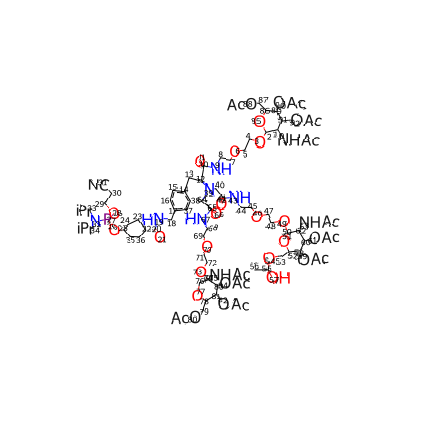 CC(=O)NC1C(OCCOCCNC(=O)C(Cc2ccc(CNC(=O)[C@H]3CC[C@@H](OP(OCCC#N)N(C(C)C)C(C)C)CC3)cc2)N(CC(=O)NCCOCCOC2OC(COC(C)O)C(OC(C)=O)C(OC(C)=O)C2NC(C)=O)CC(=O)NCCOCCO[C@]2(NC(C)=O)COC(COC(C)=O)C(OC(C)=O)C2OC(C)=O)OC(COC(C)=O)C(OC(C)=O)C1OC(C)=O